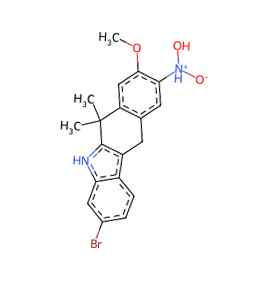 COc1cc2c(cc1[NH+]([O-])O)Cc1c([nH]c3cc(Br)ccc13)C2(C)C